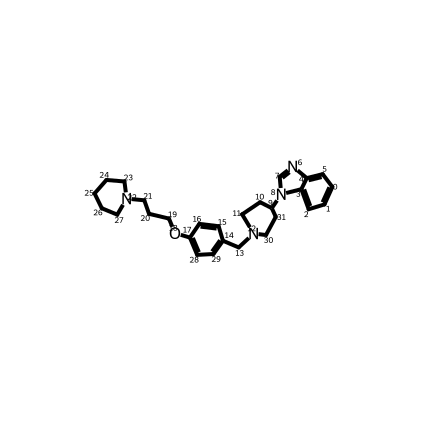 c1ccc2c(c1)ncn2C1CCN(Cc2ccc(OCCCN3CCCCC3)cc2)CC1